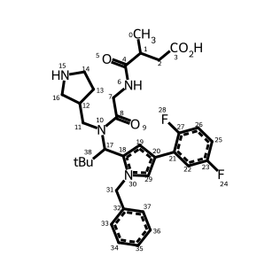 CC(CC(=O)O)C(=O)NCC(=O)N(CC1CCNC1)C(c1cc(-c2cc(F)ccc2F)cn1Cc1ccccc1)C(C)(C)C